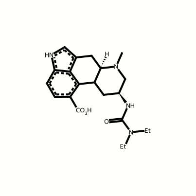 CCN(CC)C(=O)N[C@H]1CC2c3c(C(=O)O)ccc4[nH]cc(c34)C[C@H]2N(C)C1